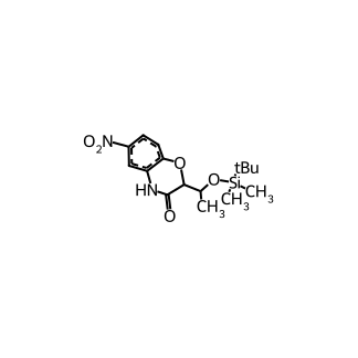 CC(O[Si](C)(C)C(C)(C)C)C1Oc2ccc([N+](=O)[O-])cc2NC1=O